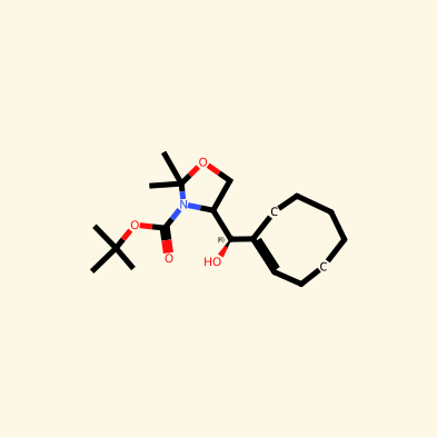 CC(C)(C)OC(=O)N1C([C@H](O)C2=CCCCCCC2)COC1(C)C